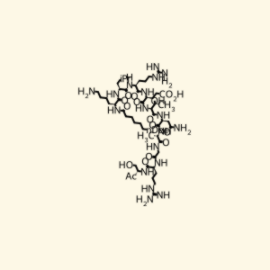 CCCCCCCCCCCCCCCC(=O)N[C@@H](CCCCN)C(=O)N[C@@H](CC(C)C)C(=O)N[C@@H](CCCNC(=N)N)C(=O)N[C@@H](CCC(=O)O)C(=O)N[C@H](C(=O)N[C@@H](CC(N)=O)C(=O)N[C@@H](C)C(=O)NCC(=O)N[C@@H](CCCNC(=N)N)C(=O)N[C@@H](CO)C(C)=O)[C@@H](C)O